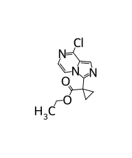 CCOC(=O)C1(c2ncc3c(Cl)nccn23)CC1